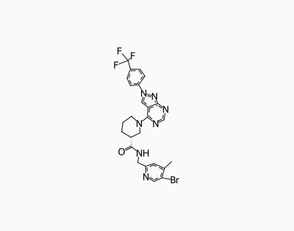 Cc1cc(CNC(=O)[C@@H]2CCCN(c3ncnc4nn(-c5ccc(C(F)(F)F)cc5)cc34)C2)ncc1Br